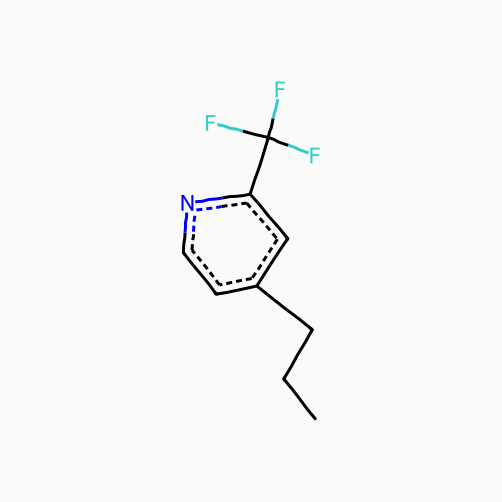 CCCc1ccnc(C(F)(F)F)c1